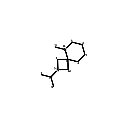 CC(C)N1CC2(CCCCN2C)C1